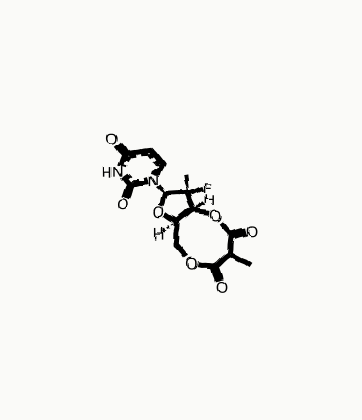 CC1C(=O)OC[C@H]2O[C@@H](n3ccc(=O)[nH]c3=O)[C@](C)(F)[C@@H]2OC1=O